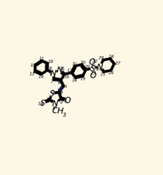 CN1C(=O)/C(=C/c2cn(-c3ccccc3)nc2-c2ccc(S(=O)(=O)N3CCCCC3)cc2)SC1=S